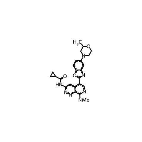 CNc1ncc(-c2nc3cc(N4CCOC(C)C4)ccc3o2)c2cc(NC(=O)C3CC3)nnc12